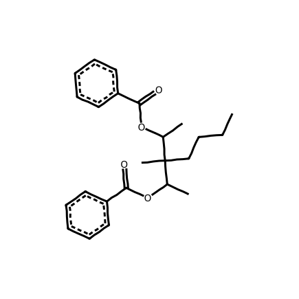 CCCCC(C)(C(C)OC(=O)c1ccccc1)C(C)OC(=O)c1ccccc1